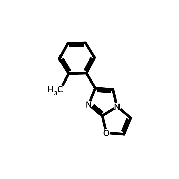 Cc1ccccc1-c1cn2ccoc2n1